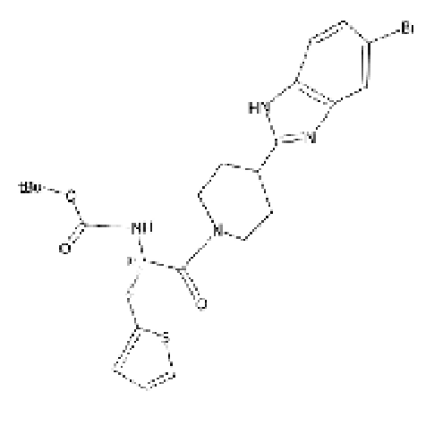 CC(C)(C)OC(=O)N[C@@H](Cc1cccs1)C(=O)N1CCC(c2nc3cc(Br)ccc3[nH]2)CC1